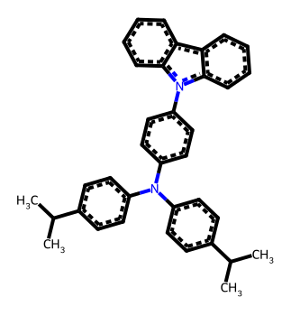 CC(C)c1ccc(N(c2ccc(C(C)C)cc2)c2ccc(-n3c4ccccc4c4ccccc43)cc2)cc1